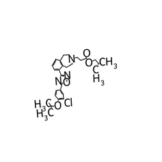 CC(C)COC(=O)CCN1CCc2cccc(-c3noc(-c4ccc(OC(C)C)c(Cl)c4)n3)c2CC1